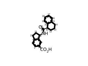 O=C(O)c1ccc2c(c1)[C@H](NC(=O)[C@@H]1CCCc3ccccc31)CC2